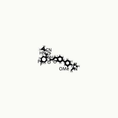 COc1cc(-c2ccc3cc(C(=O)NC4(C(=O)NC5(C#N)CC5)CCC(F)(F)CC4)oc3c2)ccc1-n1ncnc1C